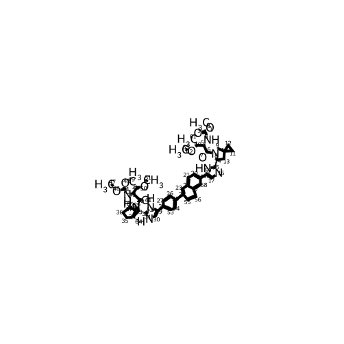 COC(=O)N[C@H](C(=O)N1CC2(CC2)C[C@H]1c1ncc(-c2ccc3cc(-c4ccc(-c5cnc([C@@H]6[C@H]7CC[C@H](C7)N6C(=O)[C@@H](NC(=O)OC)[C@@H](C)OC)[nH]5)cc4)ccc3c2)[nH]1)[C@@H](C)OC